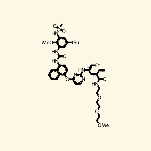 C=C/C(=C\C(=C/CC)Nc1nccc(Oc2ccc(NC(=O)Nc3cc(C(C)(C)C)cc(NS(C)(=O)=O)c3OC)c3ccccc23)n1)C(=O)NCCOCCOCCOC